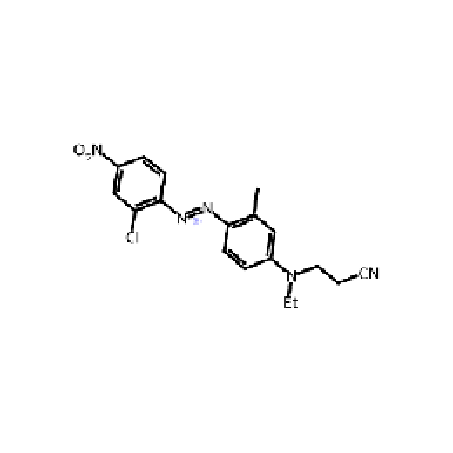 CCN(CCC#N)c1ccc(/N=N/c2ccc([N+](=O)[O-])cc2Cl)c(C)c1